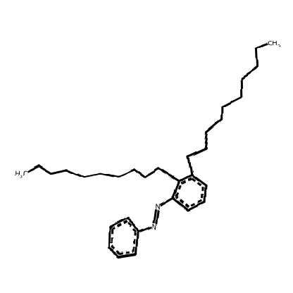 CCCCCCCCCCc1cccc(N=Nc2ccccc2)c1CCCCCCCCCC